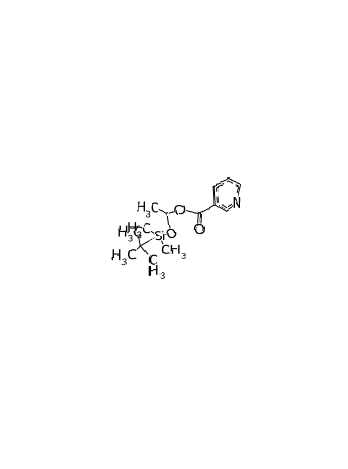 CC(OC(=O)c1cccnc1)O[Si](C)(C)C(C)(C)C